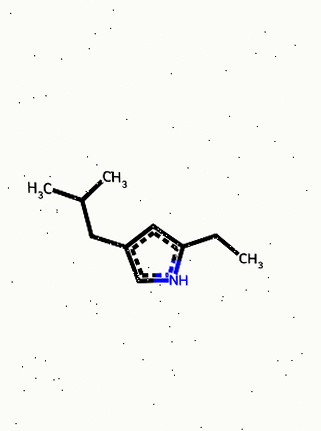 CCc1cc(CC(C)C)c[nH]1